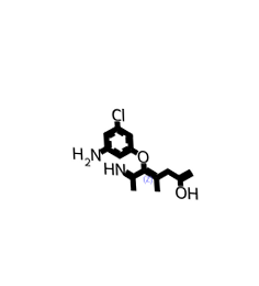 C=C(O)C/C(C)=C(\Oc1cc(N)cc(Cl)c1)C(C)=N